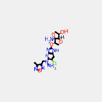 Cc1nonc1CN(N)c1nc2nc(O[C@@H]3CO[C@@H]4[C@H](O)CO[C@@]43N)[nH]c2cc1Cl